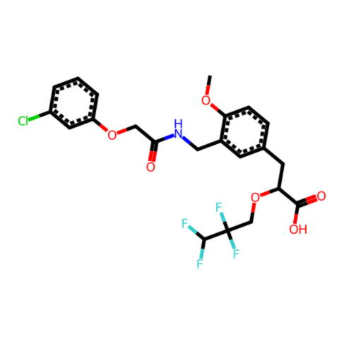 COc1ccc(CC(OCC(F)(F)C(F)F)C(=O)O)cc1CNC(=O)COc1cccc(Cl)c1